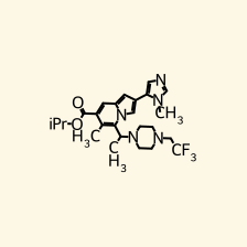 Cc1c(C(=O)OC(C)C)cc2cc(-c3cncn3C)cn2c1C(C)N1CCN(CC(F)(F)F)CC1